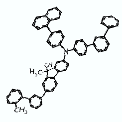 Cc1ccccc1-c1cccc(-c2ccc3c(c2)C(C)(C)c2cc(N(c4ccc(-c5cccc(-c6ccccc6)c5)cc4)c4ccc(-c5cccc6ccccc56)cc4)ccc2-3)c1